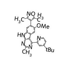 COc1cc2c(cc1-c1c(C)noc1C)[nH]c1nc(C)nc(-c3cc(C(C)(C)C)ccn3)c12